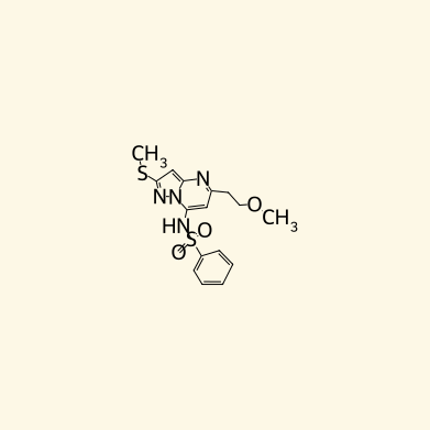 COCCc1cc(NS(=O)(=O)c2ccccc2)n2nc(SC)cc2n1